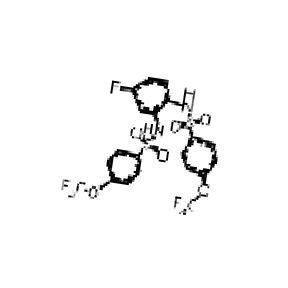 O=S(=O)(Nc1ccc(F)cc1NS(=O)(=O)c1ccc(OC(F)(F)F)cc1)c1ccc(OC(F)(F)F)cc1